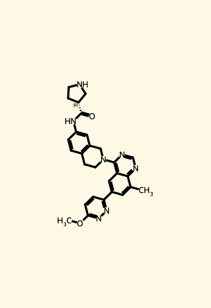 COc1ccc(-c2cc(C)c3ncnc(N4CCc5ccc(NC(=O)[C@@H]6CCNC6)cc5C4)c3c2)nn1